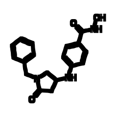 O=C(NO)c1ccc(NC2CC(=O)N(Cc3ccccc3)C2)cc1